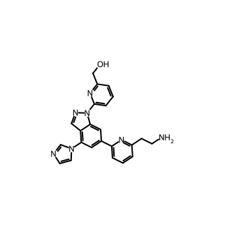 NCCc1cccc(-c2cc(-n3ccnc3)c3cnn(-c4cccc(CO)n4)c3c2)n1